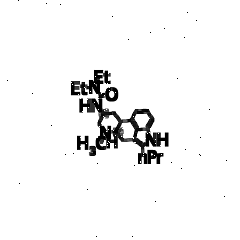 CCCc1[nH]c2cccc3c2c1C[C@@H]1C3C[C@H](NC(=O)N(CC)CC)CN1C